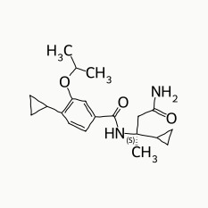 CC(C)Oc1cc(C(=O)N[C@@](C)(CC(N)=O)C2CC2)ccc1C1CC1